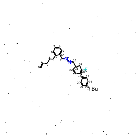 C=CCCCc1ccccc1C=NN=Cc1ccc(-c2ccc(CCCC)cc2)c(F)c1